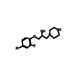 CC(C)c1ccc(OCC(O)CN2CCNCC2)c(F)c1